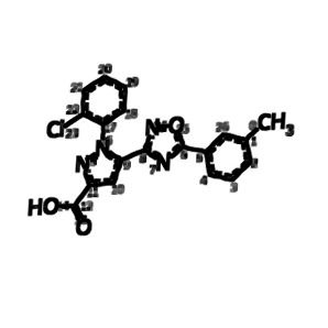 Cc1cccc(-c2nc(-c3cc(C(=O)O)nn3-c3ccccc3Cl)no2)c1